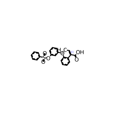 C/C=C(/C(=O)O)c1ccccc1Oc1cccc(OS(=O)(=O)c2ccccc2)c1